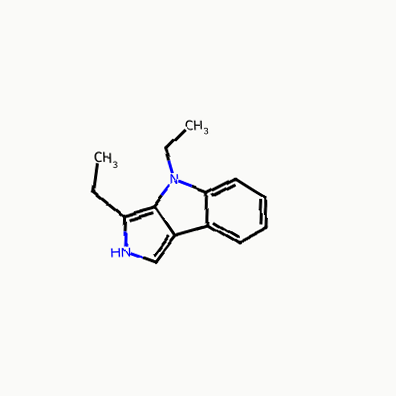 CCc1[nH]cc2c3ccccc3n(CC)c12